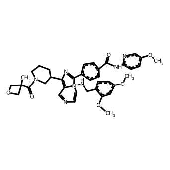 COc1ccc(NC(=O)c2ccc(C3=NC(C4CCCN(C(=O)C5(C)COC5)C4)=C4C=NC=C[N+]34NCc3ccc(OC)cc3OC)cc2)nc1